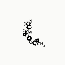 CN1CCC(Oc2ccc(N3C(=S)N(c4cnc(C#N)c(C(F)(F)F)c4)C(=O)C34CCC4)cc2)CC12CCC2